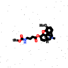 COc1ccc2c3c1OC1C(OC(=O)CCCNC(=O)OC(C)(C)C)C=C[C@H]4C(C2)N(C)CC[C@]314